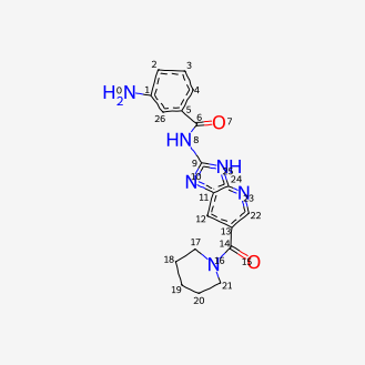 Nc1cccc(C(=O)Nc2nc3cc(C(=O)N4CCCCC4)cnc3[nH]2)c1